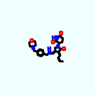 C\C=C/C=C1/C(=O)N(C2CCC(=O)NC2=O)C/C1=C\NCc1ccc(CN2CCOCC2)cc1